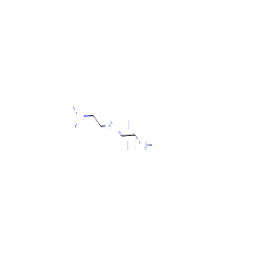 CN(C)CCNCCNC(=O)O